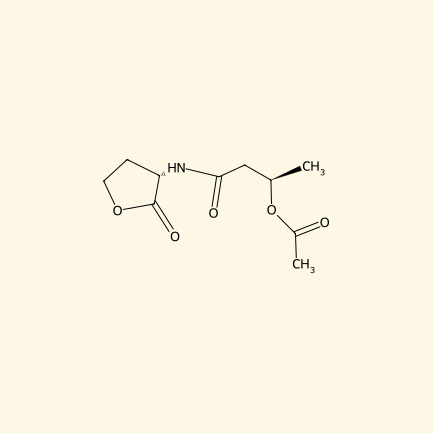 CC(=O)O[C@H](C)CC(=O)N[C@H]1CCOC1=O